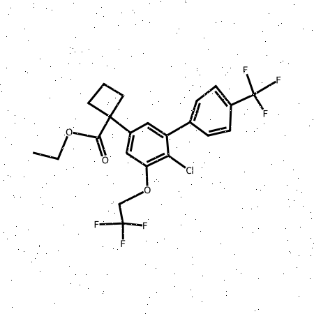 CCOC(=O)C1(c2cc(OCC(F)(F)F)c(Cl)c(-c3ccc(C(F)(F)F)cc3)c2)CCC1